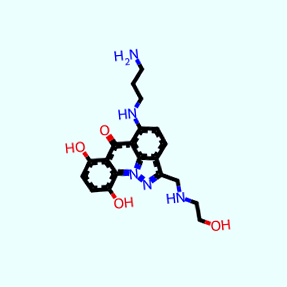 NCCCNc1ccc2c(CNCCO)nn3c4c(O)ccc(O)c4c(=O)c1c23